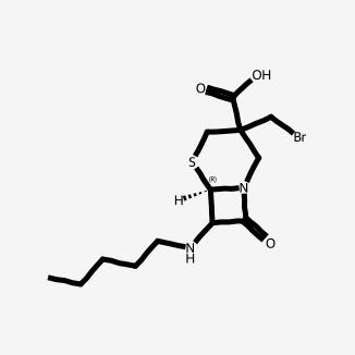 CCCCCNC1C(=O)N2CC(CBr)(C(=O)O)CS[C@H]12